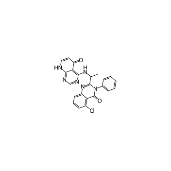 CC(Nc1ncnc2[nH]ccc(=O)c12)c1nc2cccc(Cl)c2c(=O)n1-c1ccccc1